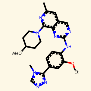 CCOc1cc(-c2nncn2C)ccc1Nc1ncc2cc(C)nc(N3CCC(OC)CC3)c2n1